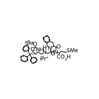 CSCCC(NC(=O)C1Cc2ccccc2CN1C(=O)[C@H](CC(C)C)NCC(CSC(c1ccccc1)(c1ccccc1)c1ccccc1)NC(=O)OC(C)(C)C)C(=O)O